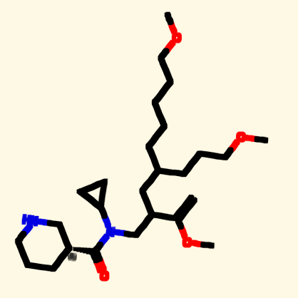 C=C(OC)C(CC(CCCCCOC)CCCOC)CN(C(=O)[C@@H]1CCCNC1)C1CC1